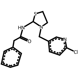 O=C(Cc1ccccc1)NC1SCCN1Cc1ccc(Cl)nc1